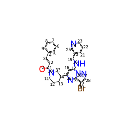 O=C(/C=C/c1ccccc1)N1CCCC(c2cc(NCc3cccnc3)n3ncc(Br)c3n2)C1